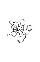 Fc1ccc([O][Zr](=[SiH2])([CH2]c2ccccc2)([CH2]c2ccccc2)([O]c2ccc(F)cc2)([CH]2C=Cc3ccccc32)[CH]2C=Cc3ccccc32)cc1